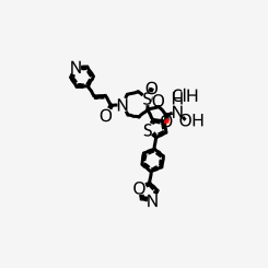 Cl.O=C(CC1(c2ccc(-c3ccc(-c4cnco4)cc3)s2)CCN(C(=O)C=Cc2ccncc2)CCS1(=O)=O)NO